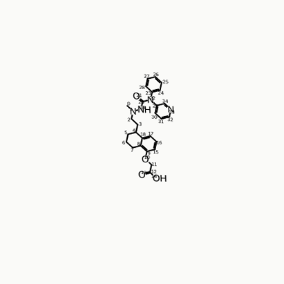 CN(CCC1CCCc2c(OCC(=O)O)cccc21)NC(=O)N(c1ccccc1)c1cccnc1